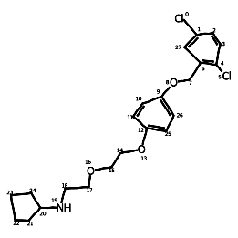 Clc1ccc(Cl)c(COc2ccc(OCCOCCNC3CCCC3)cc2)c1